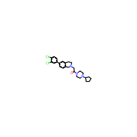 O=C(CN1CCc2cc(-c3ccc(Cl)c(Cl)c3)ccc2C1)N1CCN(C2CCCC2)CC1